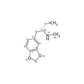 CC[C@@H](Cc1ccc2c(c1)OCO2)NC